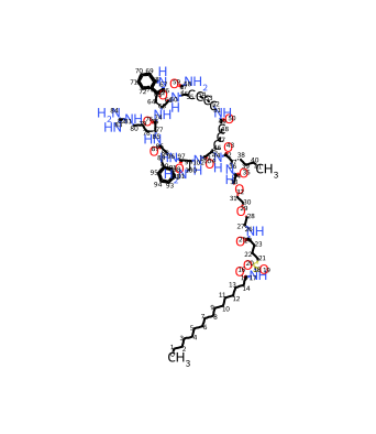 CCCCCCCCCCCCCCCC(=O)NS(=O)(=O)CCCC(=O)NCCOCCOCC(=O)N[C@@H](CCCC)C(=O)N[C@H]1CCCC(=O)NCCCC[C@@H](C(N)=O)NC(=O)[C@H](Cc2c[nH]c3ccccc23)NC(=O)[C@H](CCCNC(=N)N)NC(=O)[C@@H](Cc2ccccc2)NC(=O)[C@H](CN)NC1=O